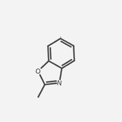 Cc1nc2cc[c]cc2o1